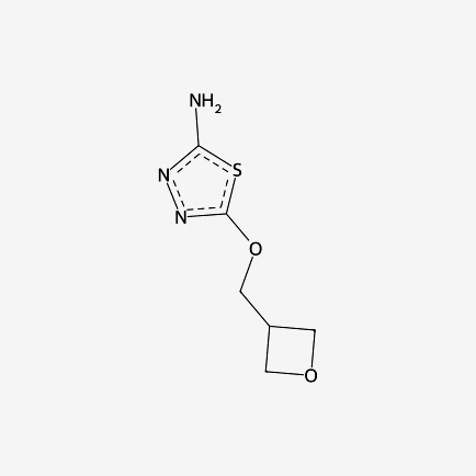 Nc1nnc(OCC2COC2)s1